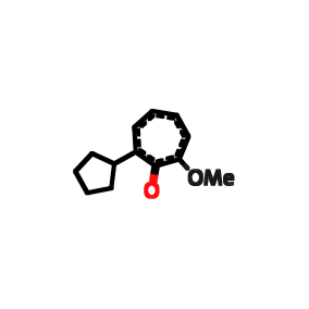 COc1ccccc(C2CCCC2)c1=O